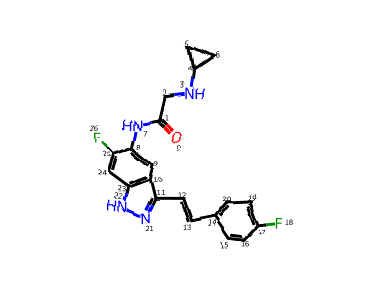 O=C(CNC1CC1)Nc1cc2c(C=Cc3ccc(F)cc3)n[nH]c2cc1F